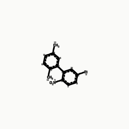 CCc1[c]cc([N+](=O)[O-])c(-c2cc(C)ccc2C)c1